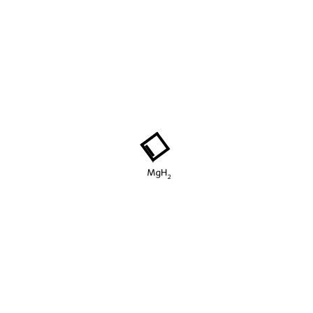 [C]1=CCC1.[MgH2]